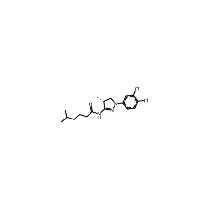 CC(C)CCCC(=O)NC1=NN(c2ccc(Cl)c(Cl)c2)C[C@H]1C